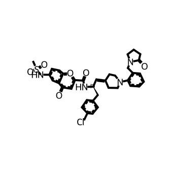 CS(=O)(=O)Nc1ccc2oc(C(=O)N[C@@H](C=C3CCN(c4ccccc4CN4CCCC4=O)CC3)Cc3ccc(Cl)cc3)cc(=O)c2c1